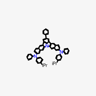 CC(C)c1ccc(N(c2ccccc2)c2ccc3cc4c5cc(-c6ccccc6)cc6c7cc8ccc(N(c9ccccc9)c9ccc(C(C)C)cc9)cc8cc7n(c4cc3c2)c56)cc1